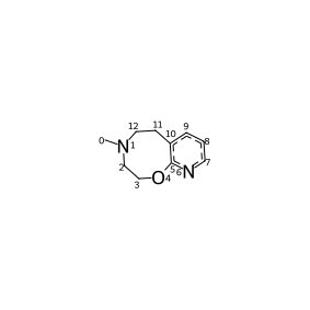 CN1CCOc2ncccc2CC1